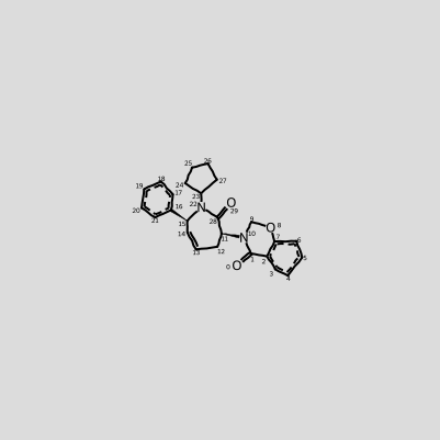 O=C1c2ccccc2OCN1[C@H]1CC=C[C@@H](c2ccccc2)N(C2CCCC2)C1=O